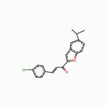 CC(C)c1ccc2oc(C(=O)C=Cc3ccc(Cl)cc3)cc2c1